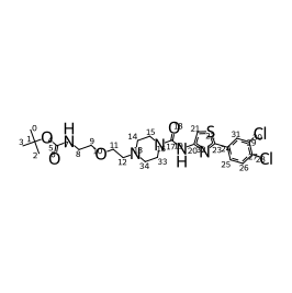 CC(C)(C)OC(=O)NCCOCCN1CCN(C(=O)Nc2csc(-c3ccc(Cl)c(Cl)c3)n2)CC1